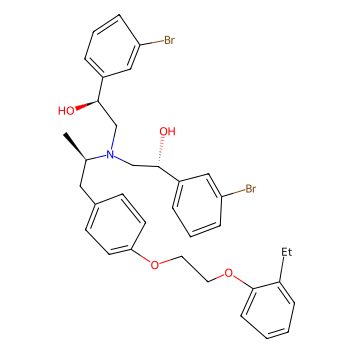 CCc1ccccc1OCCOc1ccc(C[C@@H](C)N(C[C@@H](O)c2cccc(Br)c2)C[C@H](O)c2cccc(Br)c2)cc1